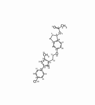 CC(=O)OC1CCc2cc(OCCc3nc(-c4ccc(Cl)cc4)sc3C)ccc21